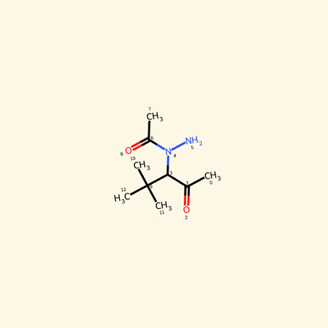 CC(=O)C(N(N)C(C)=O)C(C)(C)C